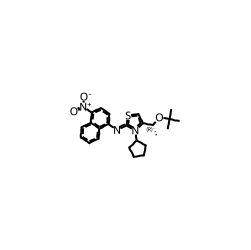 C[C@@H](OC(C)(C)C)c1csc(=Nc2ccc([N+](=O)[O-])c3ccccc23)n1C1CCCC1